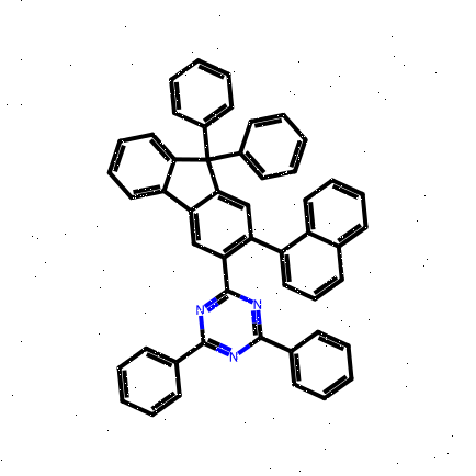 c1ccc(-c2nc(-c3ccccc3)nc(-c3cc4c(cc3-c3cccc5ccccc35)C(c3ccccc3)(c3ccccc3)c3ccccc3-4)n2)cc1